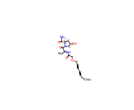 COCC#CC#CCOCC(=O)N[C@H](C(=O)N1CC(O)C[C@H]1C(N)=O)C(C)(C)C